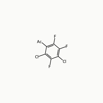 CC(=O)c1c(F)c(F)c(Cl)c(F)c1Cl